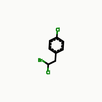 Clc1ccc(CC(Cl)Br)cc1